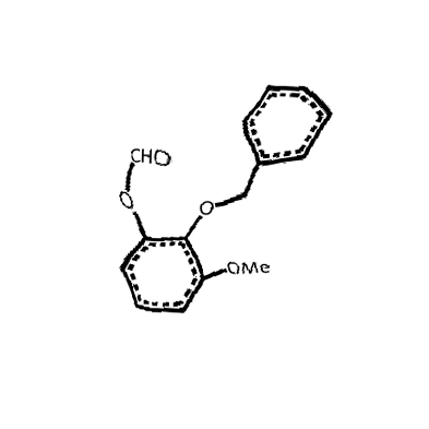 COc1cccc(OC=O)c1OCc1ccccc1